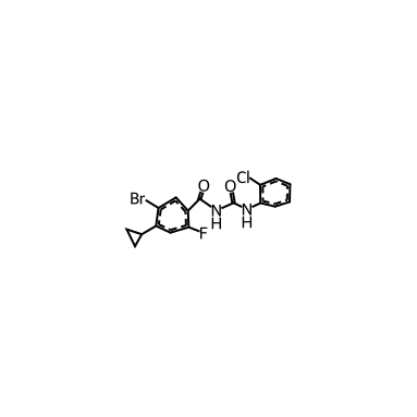 O=C(NC(=O)c1cc(Br)c(C2CC2)cc1F)Nc1ccccc1Cl